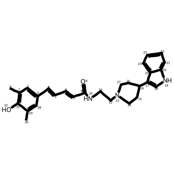 Cc1cc(C=CC=CC(=O)NCCN2CCC(c3c[nH]c4ccccc34)CC2)cc(C)c1O